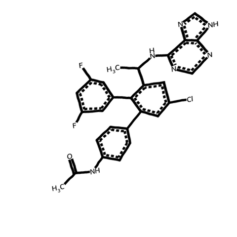 CC(=O)Nc1ccc(-c2cc(Cl)cc(C(C)Nc3ncnc4[nH]cnc34)c2-c2cc(F)cc(F)c2)cc1